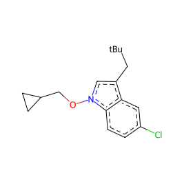 CC(C)(C)Cc1cn(OCC2CC2)c2ccc(Cl)cc12